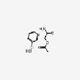 CC(=O)OCC(N)=O.Cl.Clc1cccnc1